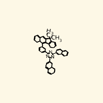 CC1(C)C2=CC3=CC=CCC3C(c3cccc(-c4nc(C5=CC=C6C=CCCC6C5)nc(-c5ccc6ccccc6c5)n4)c3)=C2C2=C1C=CCC2